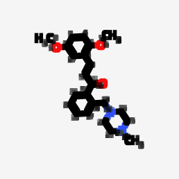 COc1ccc(OC)c(C=CC(=O)c2ccccc2CN2CCN(C)CC2)c1